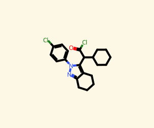 O=C(Cl)C(c1c2c(nn1-c1ccc(Cl)cc1)CCCC2)C1CCCCC1